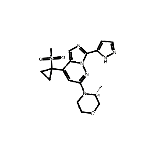 C[C@@H]1COCCN1c1cc(C2(S(C)(=O)=O)CC2)c2cnc(-c3ccn[nH]3)n2n1